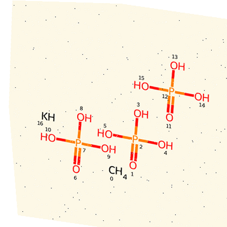 C.O=P(O)(O)O.O=P(O)(O)O.O=P(O)(O)O.[KH]